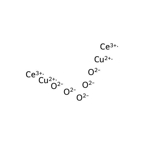 [Ce+3].[Ce+3].[Cu+2].[Cu+2].[O-2].[O-2].[O-2].[O-2].[O-2]